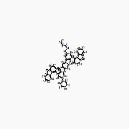 C/C=C\C=C/Cc1cc2c3cc4c(cc3n3c5ccc6sc7ccccc7c6c5c(c1)c23)c1cc(-c2ccccc2)cc2c3c5c(ccc3n4c12)sc1ccccc15